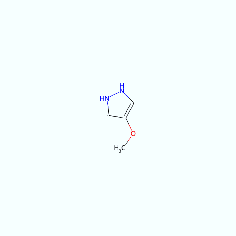 COC1=CNN[CH]1